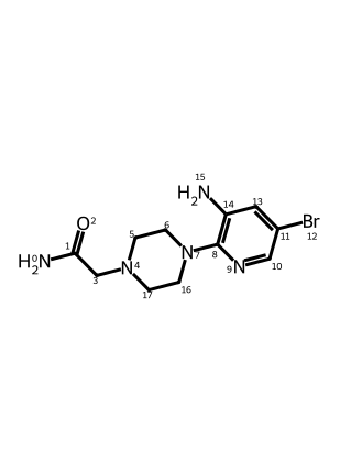 NC(=O)CN1CCN(c2ncc(Br)cc2N)CC1